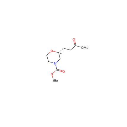 COC(=O)CC[C@@H]1CN(C(=O)OC(C)(C)C)CCO1